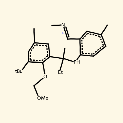 CCC(C)(Pc1ccc(C)cc1/C=N/C)c1cc(C)cc(C(C)(C)C)c1OCOC